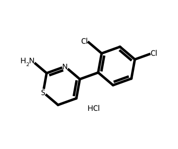 Cl.NC1=NC(c2ccc(Cl)cc2Cl)=CCS1